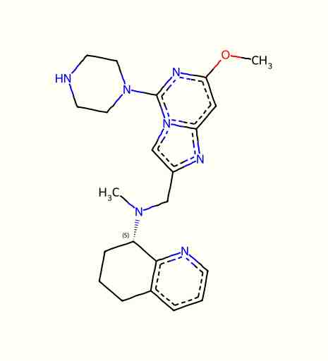 COc1cc2nc(CN(C)[C@H]3CCCc4cccnc43)cn2c(N2CCNCC2)n1